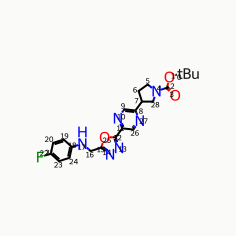 CC(C)(C)OC(=O)N1CCC(c2cnc(-c3nnc(CNc4ccc(F)cc4)o3)cn2)C1